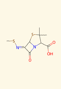 CSN=C1C(=O)N2C1SC(C)(C)C2C(=O)O